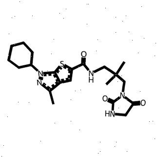 Cc1nn(C2CCCCC2)c2sc(C(=O)NCC(C)(C)CN3C(=O)CNC3=O)cc12